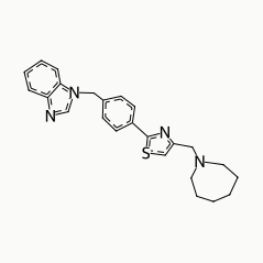 c1ccc2c(c1)ncn2Cc1ccc(-c2nc(CN3CCCCCC3)cs2)cc1